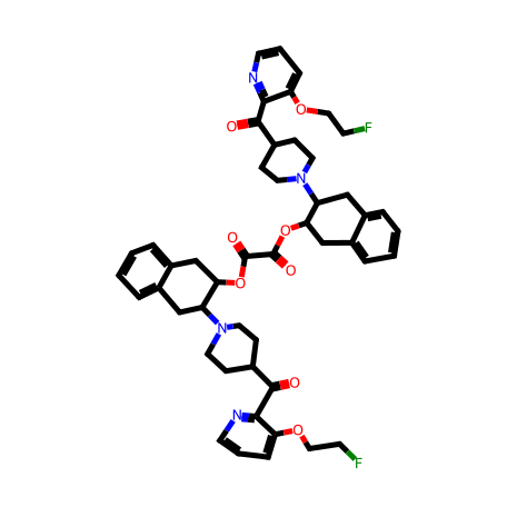 O=C(OC1Cc2ccccc2CC1N1CCC(C(=O)c2ncccc2OCCF)CC1)C(=O)OC1Cc2ccccc2CC1N1CCC(C(=O)c2ncccc2OCCF)CC1